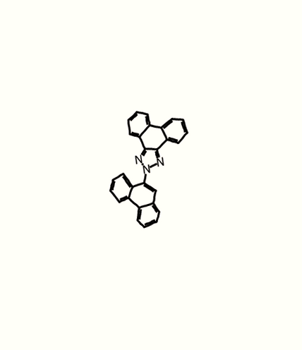 c1ccc2c(c1)cc(-n1nc3c4ccccc4c4ccccc4c3n1)c1ccccc12